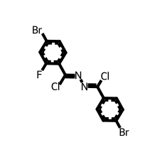 Fc1cc(Br)ccc1/C(Cl)=N/N=C(\Cl)c1ccc(Br)cc1